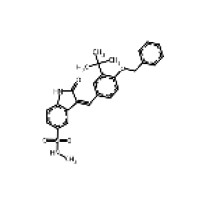 CNS(=O)(=O)c1ccc2c(c1)C(=Cc1ccc(OCc3ccccc3)c(C(C)(C)C)c1)C(=O)N2